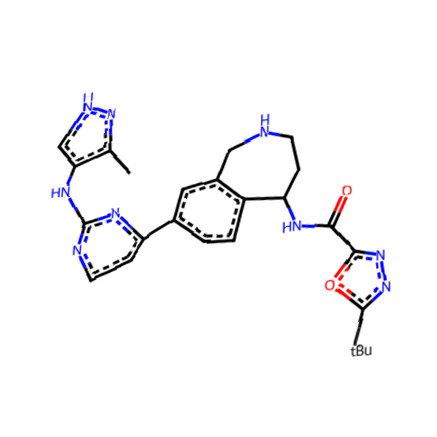 Cc1n[nH]cc1Nc1nccc(-c2ccc3c(c2)CNCCC3NC(=O)c2nnc(C(C)(C)C)o2)n1